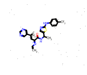 C=C/N=C(\C=C(/C)c1cncnc1)C(=O)NC(C)c1cnc(Nc2ccc(C(F)(F)F)cc2)s1